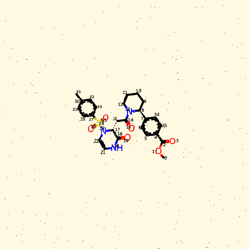 COC(=O)c1ccc([C@@H]2CCCCN2C(=O)C[C@@H]2C(=O)NC=CN2S(=O)(=O)c2ccc(C)cc2)cc1